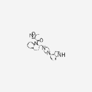 Cc1oncc1C(=O)N1c2ccccc2CCC1CN1CCN(c2cccc3[nH]ccc23)CC1